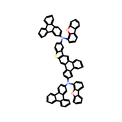 c1ccc2c(c1)oc1c(N(c3ccc4sc5cc6c7ccc(N(c8ccc9c%10ccccc%10c%10ccccc%10c9c8)c8cccc9c8oc8ccccc89)cc7c7ccccc7c6cc5c4c3)c3ccc4c5ccccc5c5ccccc5c4c3)cccc12